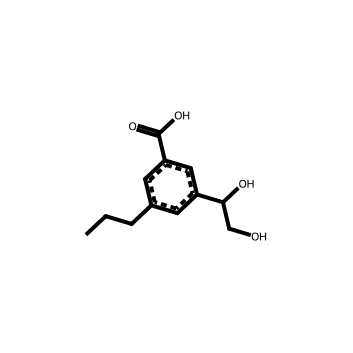 CCCc1cc(C(=O)O)cc(C(O)CO)c1